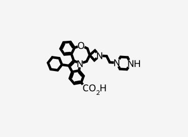 O=C(O)c1ccc2c(C3CCCCC3)c3n(c2c1)CC1(COc2ccccc2-3)CN(CCN2CCNCC2)C1